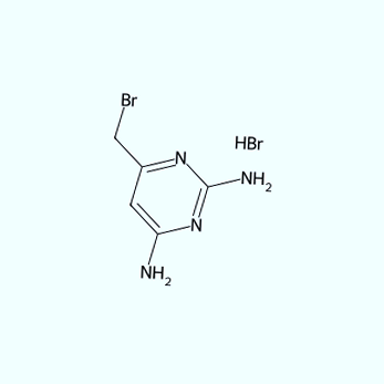 Br.Nc1cc(CBr)nc(N)n1